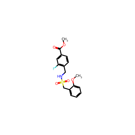 COC(=O)c1ccc(CNS(=O)(=O)Cc2ccccc2OC)c(F)c1